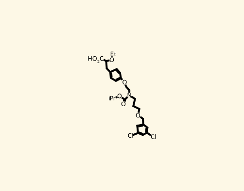 CCOC(Cc1ccc(OCCN(CCCOCc2cc(Cl)cc(Cl)c2)C(=O)OC(C)C)cc1)C(=O)O